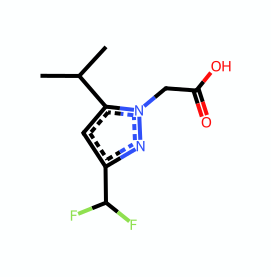 CC(C)c1cc(C(F)F)nn1CC(=O)O